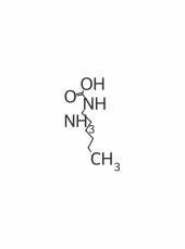 CCCCCCNC(=O)O.N